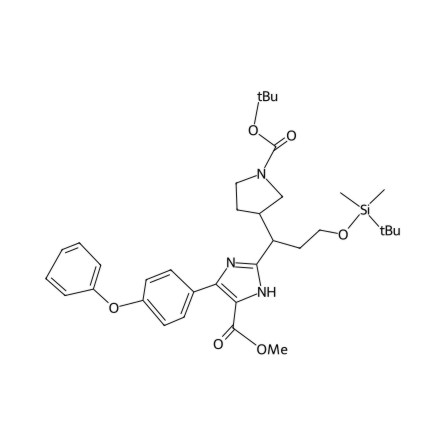 COC(=O)c1[nH]c(C(CCO[Si](C)(C)C(C)(C)C)C2CCN(C(=O)OC(C)(C)C)C2)nc1-c1ccc(Oc2ccccc2)cc1